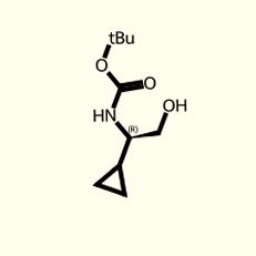 CC(C)(C)OC(=O)N[C@@H](CO)C1CC1